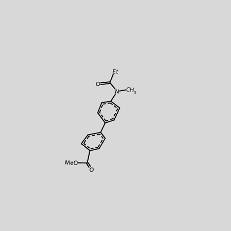 CCC(=O)N(C)c1ccc(-c2ccc(C(=O)OC)cc2)cc1